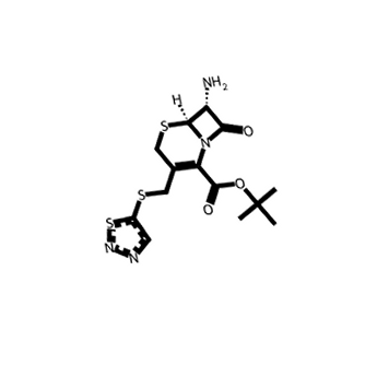 CC(C)(C)OC(=O)C1=C(CSc2cnns2)CS[C@H]2[C@H](N)C(=O)N12